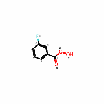 O=C(OO)c1cccc(F)c1